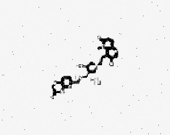 Cl.Cl.Cn1c(=O)ccc2ncc(Cl)c(CCN3C[C@@H](CNCc4ccc5c(n4)NC(=O)CS5)[C@@H](O)C3)c21